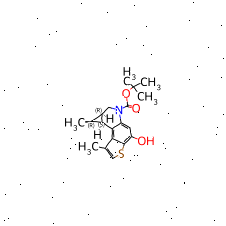 Cc1csc2c(O)cc3c(c12)[C@H]1[C@@H](C)[C@H]1CN3C(=O)OC(C)(C)C